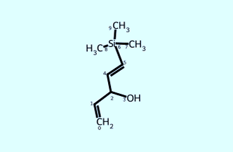 C=CC(O)/C=C/[Si](C)(C)C